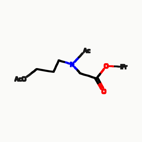 CC(=O)OCCCN(CC(=O)OC(C)C)C(C)=O